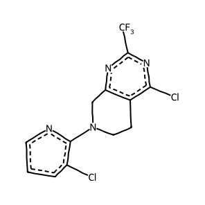 FC(F)(F)c1nc(Cl)c2c(n1)CN(c1ncccc1Cl)CC2